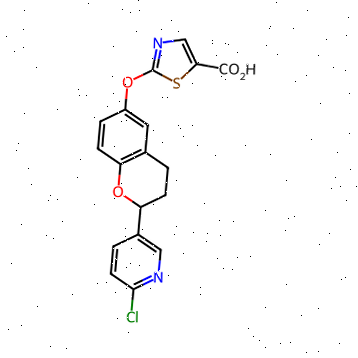 O=C(O)c1cnc(Oc2ccc3c(c2)CCC(c2ccc(Cl)nc2)O3)s1